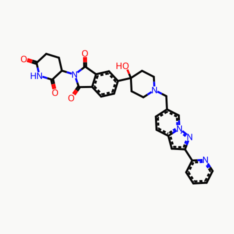 O=C1CCC(N2C(=O)c3ccc(C4(O)CCN(Cc5ccc6cc(-c7ccccn7)nn6c5)CC4)cc3C2=O)C(=O)N1